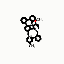 CCc1cc[n+]2c(c1)-c1c(ccc3c1Sc1ccccc1-c1ccccc1-3)C[n+]1ccc(C)cc1-c1ccccc1C2